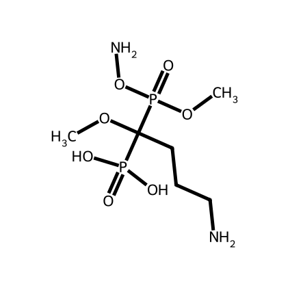 COC(CCCN)(P(=O)(O)O)P(=O)(OC)ON